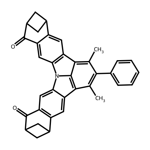 Cc1c(-c2ccccc2)c(C)c2c3cc4c(cc3n3c5cc6c(cc5c1c23)C1CC(C1)C6=O)C(=O)C1CC4C1